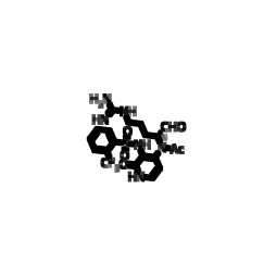 CC(=O)N(c1cc[nH]c(=O)c1NS(=O)(=O)c1ccccc1C(F)(F)F)[C@H](C=O)CCCNC(=N)N